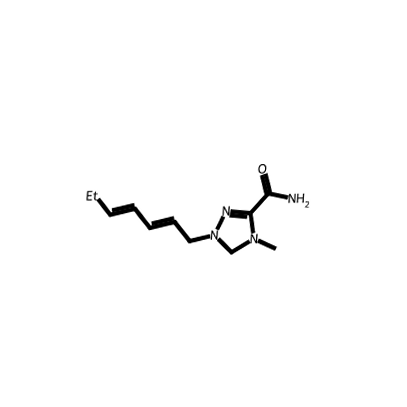 CCC=CC=CCN1CN(C)C(C(N)=O)=N1